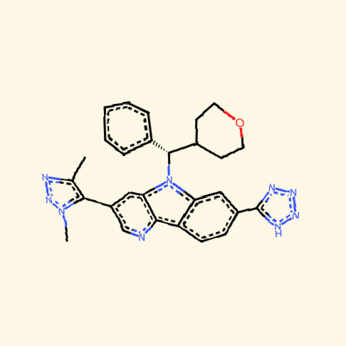 Cc1nnn(C)c1-c1cnc2c3ccc(-c4nnn[nH]4)cc3n([C@H](c3ccccc3)C3CCOCC3)c2c1